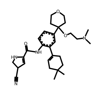 CN(C)CCOC1(c2ccc(NC(=O)C3=CC(C#N)CN3)c(C3=CCC(C)(C)CC3)c2)CCOCC1